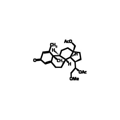 COC[C@H](OC(C)=O)[C@@H]1CC[C@@]2(COC(C)=O)CC[C@H]3[C@@H](CCC4=CC(=O)C=C(C)[C@@]43C)[C@H]12